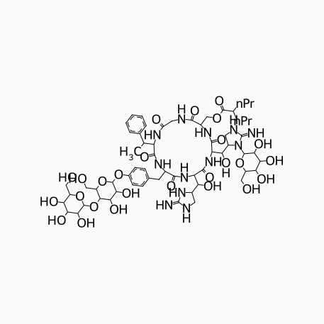 CCCC(CCC)C(=O)OCC1NC(=O)C(C(O)C2CNC(=N)N2C2OC(CO)C(O)C(O)C2O)NC(=O)C(C(O)C2CNC(=N)N2)NC(=O)C(Cc2ccc(OC3OC(CO)C(OC4OC(CO)C(O)C(O)C4O)C(O)C3O)cc2)NC(=O)C(C(C)c2ccccc2)NC(=O)CNC1=O